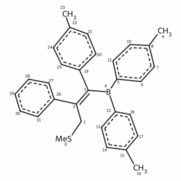 CSC/C(=C(\B(c1ccc(C)cc1)c1ccc(C)cc1)c1ccc(C)cc1)c1ccccc1